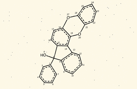 OC1(c2ccccc2)c2ccccc2-c2c1ccc1c2Oc2ccccc2O1